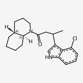 CC(CC(=O)N1CCC[C@H]2CCCC[C@@H]21)c1c[nH]c2cccc(Cl)c12